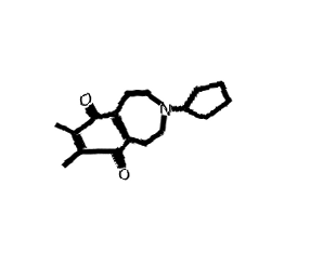 CC1=C(C)C(=O)C2=C(CCN(C3CCCC3)CC2)C1=O